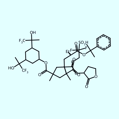 CCC(C)(CC(C)(CC(C)(CC(C)(C)C(=O)OCC(F)(F)S(=O)(=O)O)C(=O)OC1CC(C(C)(O)C(F)(F)F)CC(C(C)(O)C(F)(F)F)C1)C(=O)OC1CCOC1=O)C(=O)OC(C)(C)c1ccccc1